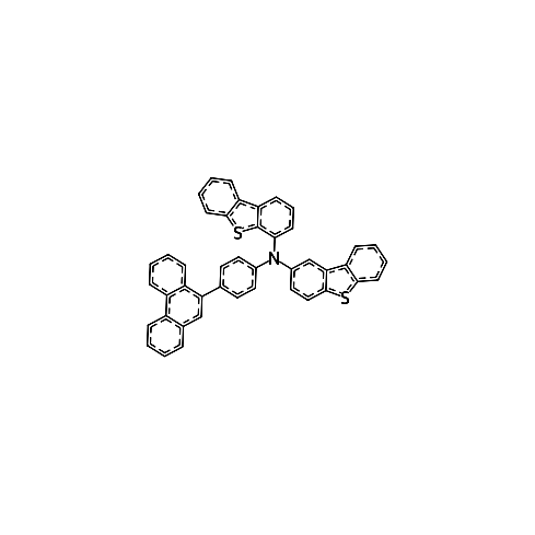 c1ccc2c(c1)cc(-c1ccc(N(c3ccc4sc5ccccc5c4c3)c3cccc4c3sc3ccccc34)cc1)c1ccccc12